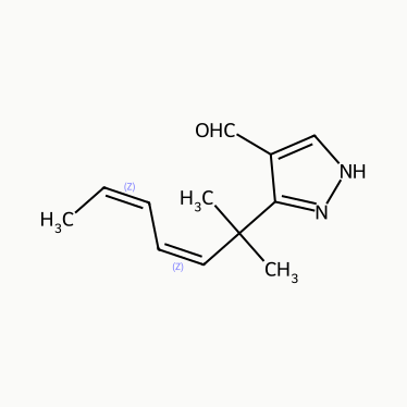 C/C=C\C=C/C(C)(C)c1n[nH]cc1C=O